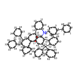 c1ccc(-c2ccc(N(c3ccccc3-c3ccc4c(c3)c(-c3ccccc3)c(-c3ccccc3)c3ccccc34)c3cccc4c3-c3ccccc3C4(c3ccccc3)c3ccccc3)cc2)cc1